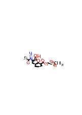 CCC(=O)N[C@H]1Cc2cccc(C(=O)OCCS(C)(=O)=O)c2OB1O